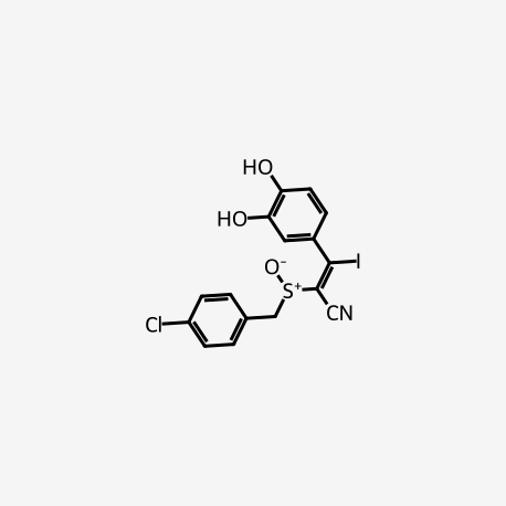 N#CC(=C(I)c1ccc(O)c(O)c1)[S+]([O-])Cc1ccc(Cl)cc1